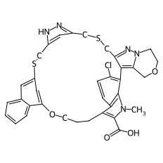 Cn1c(C(=O)O)c2c3ccc(Cl)c(c31)-c1c(nn3c1COCC3)CSCc1cc([nH]n1)CSc1cc(c3ccccc3c1)OCCC2